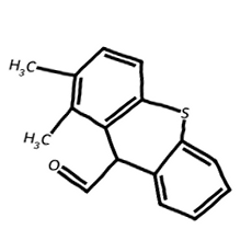 Cc1ccc2c(c1C)C(C=O)c1ccccc1S2